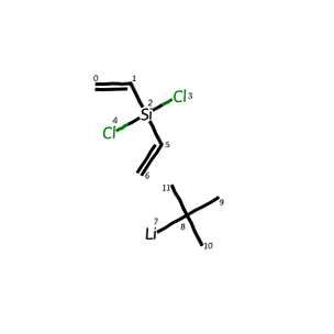 C=C[Si](Cl)(Cl)C=C.[Li][C](C)(C)C